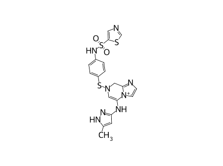 Cc1cc(NC2=CN(Sc3ccc(NS(=O)(=O)c4cncs4)cc3)CC3=NC=C[N+]23)n[nH]1